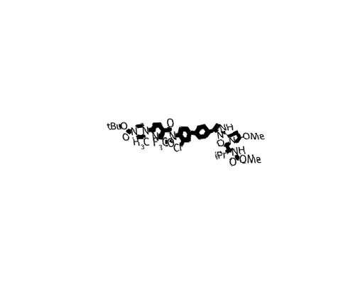 COC(=O)NC(C(=O)N1C[C@@H](OC)C[C@H]1c1nc(-c2ccc(-c3ccc(N(OC(F)(F)F)C(=O)c4ccc(N5CCN(C(=O)OC(C)(C)C)CC5C)nc4)c(Cl)c3)cc2)c[nH]1)C(C)C